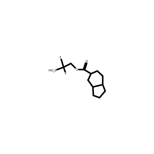 O=C(OCC(F)(F)S(=O)(=O)O)C1CCC2CCCC2C1